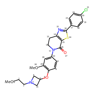 COCCN1CC(Oc2ccc(N3CCc4nc(-c5ccc(Cl)cc5)sc4C3=O)cc2OC)C1